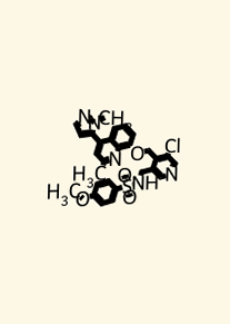 COc1ccc(S(=O)(=O)NCc2cncc(Cl)c2COc2cccc3c(-c4ccnn4C)cc(C)nc23)cc1